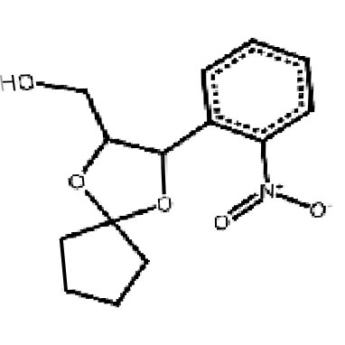 O=[N+]([O-])c1ccccc1C1OC2(CCCC2)OC1CO